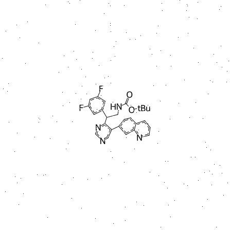 CC(C)(C)OC(=O)NCC(c1cc(F)cc(F)c1)c1ncncc1-c1ccc2cccnc2c1